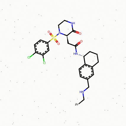 CC(C)CNCc1ccc2c(c1)CCC[C@H]2NC(=O)C[C@@H]1C(=O)NCCN1S(=O)(=O)c1ccc(Cl)c(Cl)c1